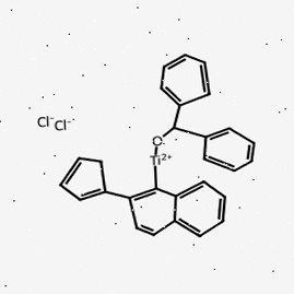 C1=CCC(c2ccc3ccccc3[c]2[Ti+2][O]C(c2ccccc2)c2ccccc2)=C1.[Cl-].[Cl-]